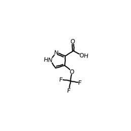 O=C(O)c1n[nH]cc1OC(F)(F)F